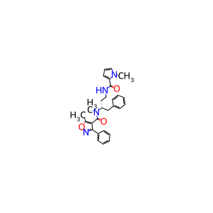 Cc1onc(-c2ccccc2)c1C(=O)N(C)[C@H](CCNC(=O)c1cccn1C)Cc1ccccc1